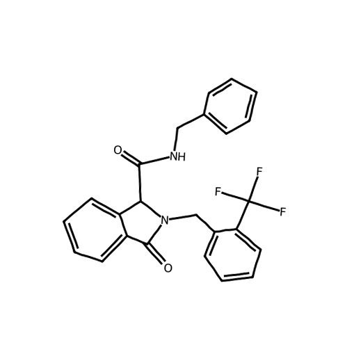 O=C(NCc1ccccc1)C1c2ccccc2C(=O)N1Cc1ccccc1C(F)(F)F